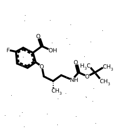 C[C@@H](CNC(=O)OC(C)(C)C)COc1ccc(F)cc1C(=O)O